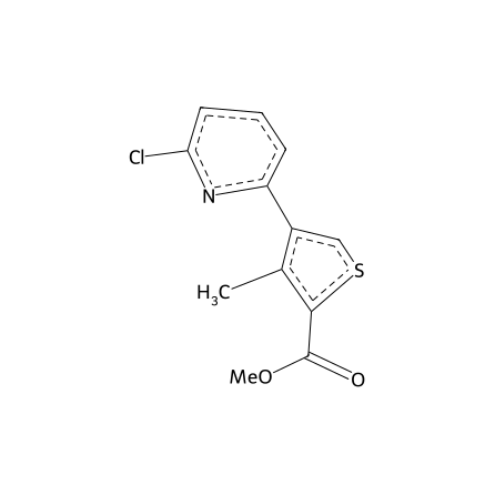 COC(=O)c1scc(-c2cccc(Cl)n2)c1C